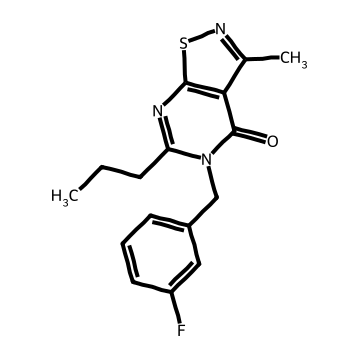 CCCc1nc2snc(C)c2c(=O)n1Cc1cccc(F)c1